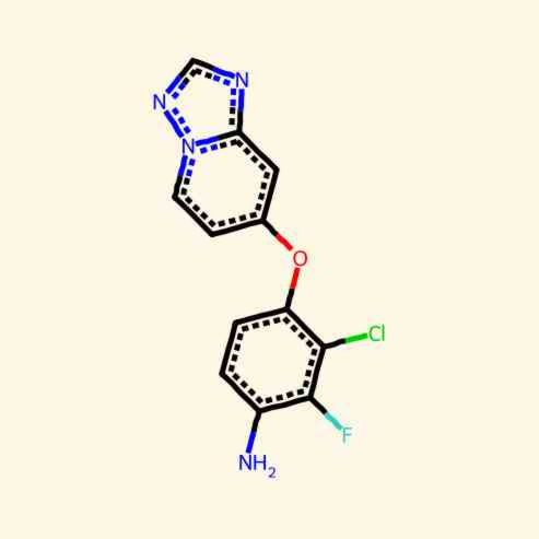 Nc1ccc(Oc2ccn3ncnc3c2)c(Cl)c1F